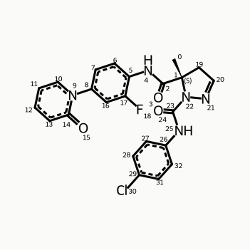 C[C@@]1(C(=O)Nc2ccc(-n3ccccc3=O)cc2F)CC=NN1C(=O)Nc1ccc(Cl)cc1